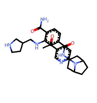 CC(=O)c1ccc(N2C3CCC2CC(NC(=O)c2ccc(C(N)=O)c(NCC4CCNC4)c2)C3)nc1